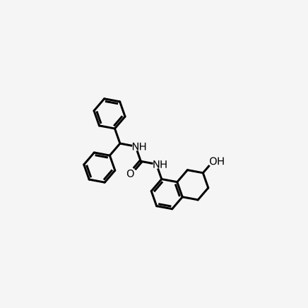 O=C(Nc1cccc2c1CC(O)CC2)NC(c1ccccc1)c1ccccc1